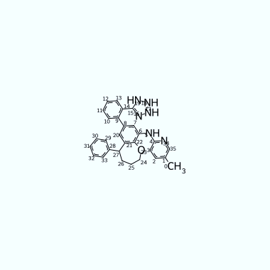 Cc1ccc(Nc2cc(-c3ccccc3C3=NNNN3)cc3c2OCCCC3c2ccccc2)nc1